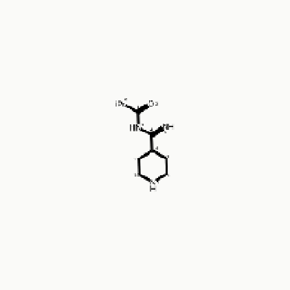 CC(C)C(=O)NC(=N)C1CCNCC1